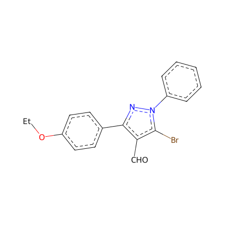 CCOc1ccc(-c2nn(-c3ccccc3)c(Br)c2C=O)cc1